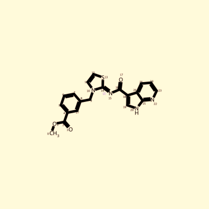 COC(=O)c1cccc(Cn2ccs/c2=N\C(=O)c2c[nH]c3ncccc23)c1